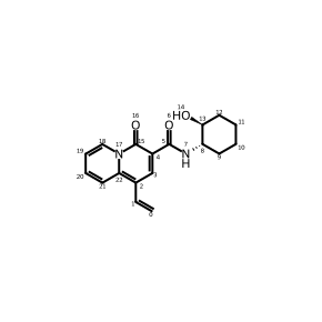 C=Cc1cc(C(=O)N[C@H]2CCCC[C@@H]2O)c(=O)n2ccccc12